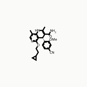 COc1cc(C#N)ccc1[C@H]1C(C(N)=O)=C(C)Nc2c(C)cnc(OCCC3CC3)c21